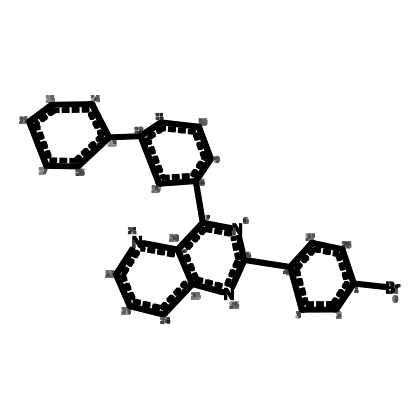 Brc1ccc(-c2nc(-c3cccc(-c4ccccc4)c3)c3ncccc3n2)cc1